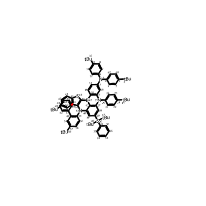 CC(C)(C)c1ccc(N(c2ccc(C(C)(C)C)cc2)c2ccc3c(c2)N(c2ccc(C(C)(C)C)cc2)c2cc(S(c4ccccc4)(C(C)(C)C)C(C)(C)C)cc4c2B3c2sc3ccc(C(C)(C)C)cc3c2N4c2ccc(C(C)(C)C)cc2-c2ccccc2)cc1